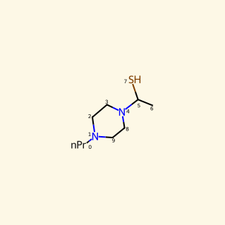 CCCN1CCN(C(C)S)CC1